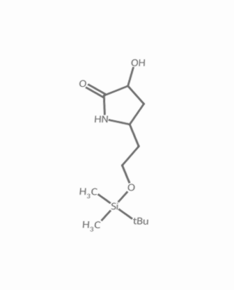 CC(C)(C)[Si](C)(C)OCCC1CC(O)C(=O)N1